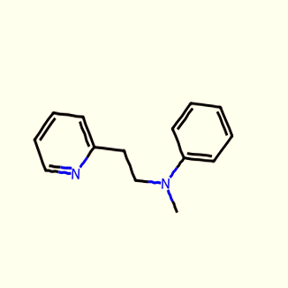 CN(CCc1ccccn1)c1ccccc1